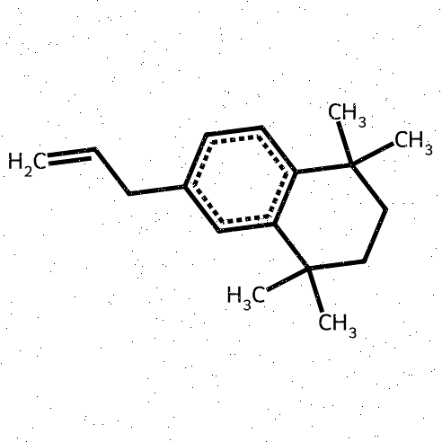 C=CCc1ccc2c(c1)C(C)(C)CCC2(C)C